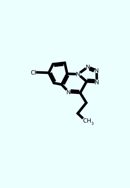 CCCc1nc2cc(Cl)ccc2n2nnnc12